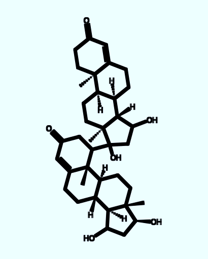 C[C@]12CC[C@H]3[C@@H](CCC4=CC(=O)CC(C5(O)CC(O)[C@H]6[C@@H]7CCC8=CC(=O)CC[C@]8(C)[C@@H]7CC[C@@]65C)[C@@]43C)[C@@H]1C(O)C[C@@H]2O